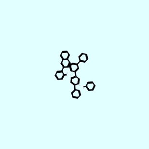 c1ccc(-c2ccc3c(c2)c2cc4c(cc2n3-c2ccccc2-c2ccc3ccccc3c2)c2ccccc2n4-c2ccccc2)cc1